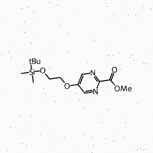 COC(=O)c1ncc(OCCO[Si](C)(C)C(C)(C)C)cn1